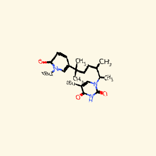 CC(CCC(C)(C)c1ccc(=O)n(C(C)(C)C)c1)C(C)n1cc(C(C)(C)C)c(=O)[nH]c1=O